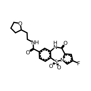 O=C(NCCC1CCCO1)c1ccc2c(c1)NC(=O)c1cc(F)cn1S2(=O)=O